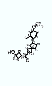 Cc1cc(OC(F)(F)F)ccc1C1CCC2(C1)CN(C(=O)[C@H]1C[C@@](C)(O)C1)C2